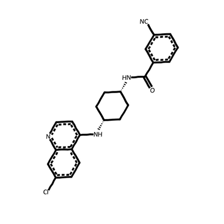 N#Cc1cccc(C(=O)N[C@H]2CC[C@@H](Nc3ccnc4cc(Cl)ccc34)CC2)c1